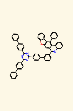 c1ccc(-c2ccc(-c3nc(-c4ccc(-c5ccccc5)cc4)nc(-c4ccc(-c5cccc(-c6nc7ccccc7c7c(-c8ccccc8)c8c(cc67)oc6ccccc68)c5)cc4)n3)cc2)cc1